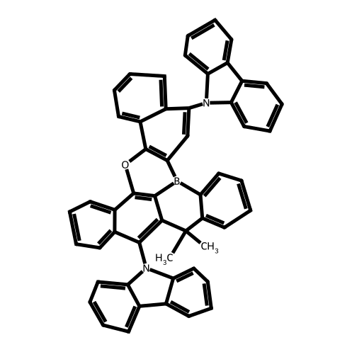 CC1(C)c2ccccc2B2c3cc(-n4c5ccccc5c5ccccc54)c4ccccc4c3Oc3c2c1c(-n1c2ccccc2c2ccccc21)c1ccccc31